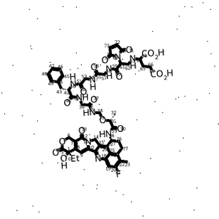 CC[C@@]1(O)C(=O)OCc2c1cc1n(c2=O)Cc2c-1nc1cc(F)c(C)c3c1c2[C@@H](NC(=O)[C@@H](C)OCNC(=O)CNC(=O)[C@H](Cc1ccccc1)NC(=O)CNC(=O)CNC(=O)C(CNC(CCC(=O)O)C(=O)O)N1C(=O)C=CC1=O)CC3